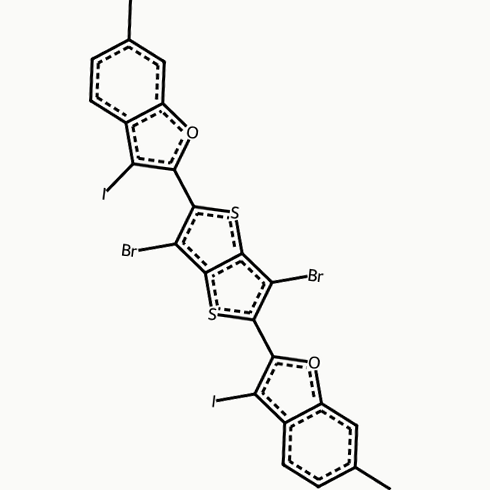 Cc1ccc2c(I)c(-c3sc4c(Br)c(-c5oc6cc(C)ccc6c5I)sc4c3Br)oc2c1